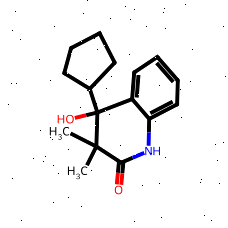 CC1(C)C(=O)Nc2ccccc2C1(O)C1CCCC1